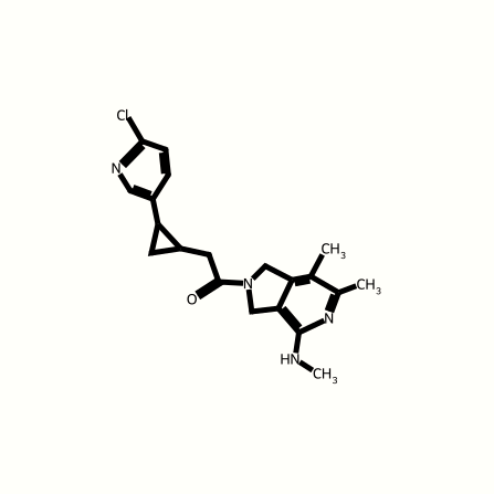 CNc1nc(C)c(C)c2c1CN(C(=O)CC1CC1c1ccc(Cl)nc1)C2